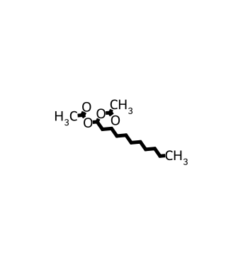 CCCCCCCCCCC(OC(C)=O)OC(C)=O